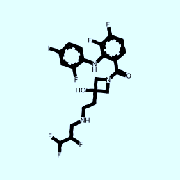 O=C(c1ccc(F)c(F)c1Nc1ccc(I)cc1F)N1CC(O)(CCNCC(F)C(F)F)C1